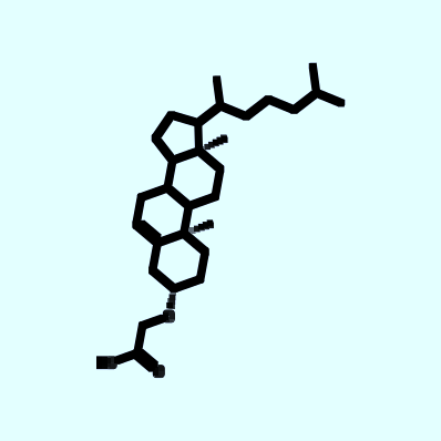 CC(C)CCCC(C)C1CCC2C3CC=C4C[C@@H](OCC(=O)O)CC[C@]4(C)C3CC[C@]12C